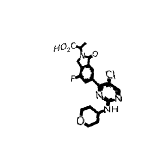 CC(C(=O)O)N1Cc2c(F)cc(-c3nc(NC4CCOCC4)ncc3Cl)cc2C1=O